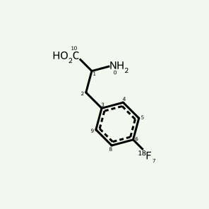 NC(Cc1ccc([18F])cc1)C(=O)O